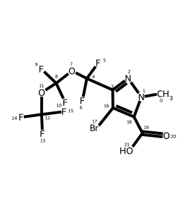 Cn1nc(C(F)(F)OC(F)(F)OC(F)(F)F)c(Br)c1C(=O)O